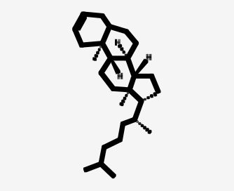 CC(C)CCC[C@@H](C)[C@H]1CC[C@H]2[C@@H]3CCC4C[C]=CC[C@]4(C)[C@H]3CC[C@]12C